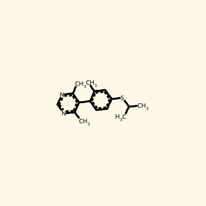 Cc1cc(SC(C)C)ccc1-c1c(C)ncnc1C